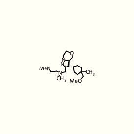 CNCCN(C)Cc1nn2c(c1[C@H]1CC[C@@](C)(COC)CC1)COCC2